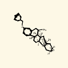 CCC[C@@H]1Cc2cc(OCc3ccccc3)ccc2[C@H]2CC[C@@]3(C)[C@@H](C[C@H]4C[C@H]5O[C@H]5C[C@@]43O)[C@H]12